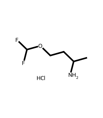 CC(N)CCOC(F)F.Cl